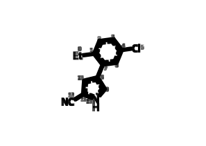 CCc1ccc(Cl)cc1-c1c[nH]c(C#N)c1